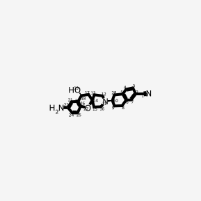 N#Cc1ccc2c(c1)CC[C@@H](N1CCC3(CC1)C[C@@H](O)c1cc(N)ccc1O3)C2